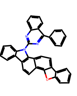 c1ccc(-c2nc(-n3c4ccccc4c4ccc5c(ccc6c7ccccc7oc65)c43)nc3ccccc23)cc1